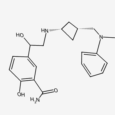 CN(C[C@H]1C[C@@H](NCC(O)c2ccc(O)c(C(N)=O)c2)C1)c1ccccc1